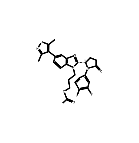 CC(=O)OCCCn1c([C@@H]2CCC(=O)N2c2ccc(F)c(F)c2)nc2cc(-c3c(C)noc3C)ccc21